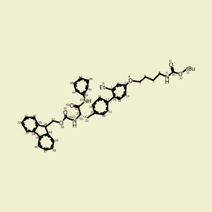 CCc1cc(OCCCCNC(=O)OC(C)(C)C)ccc1-c1ccc(C[C@H](NC(=O)OCC2c3ccccc3-c3ccccc32)C(=O)Nc2ccccc2)cc1